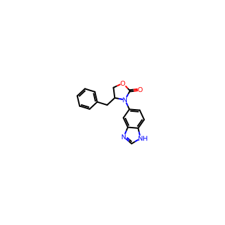 O=C1OCC(Cc2ccccc2)N1c1ccc2[nH]cnc2c1